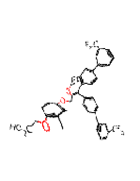 CCOC(COc1ccc(OCC(=O)O)c(C)c1)=C(c1ccc(-c2cccc(C(F)(F)F)c2)cc1)c1ccc(-c2cccc(C(F)(F)F)c2)cc1